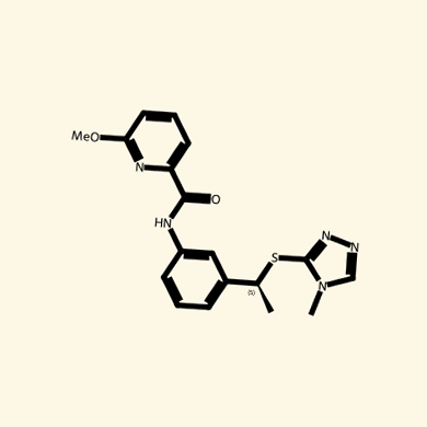 COc1cccc(C(=O)Nc2cccc([C@H](C)Sc3nncn3C)c2)n1